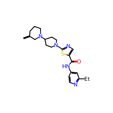 C=C1CCCN(C2CCN(c3ncc(C(=O)Nc4ccnc(CC)c4)s3)CC2)C1